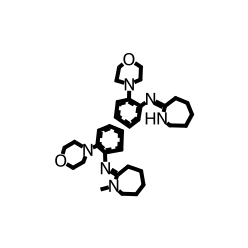 CN1CCCCCC1=Nc1ccccc1N1CCOCC1.c1ccc(N2CCOCC2)c(N=C2CCCCCN2)c1